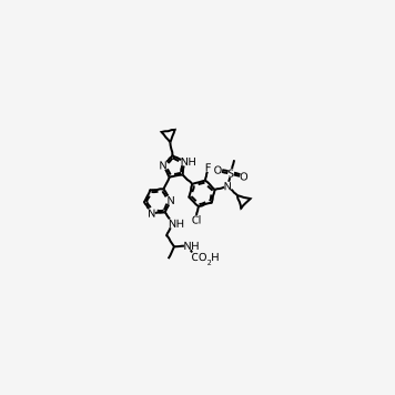 CC(CNc1nccc(-c2nc(C3CC3)[nH]c2-c2cc(Cl)cc(N(C3CC3)S(C)(=O)=O)c2F)n1)NC(=O)O